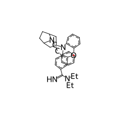 CCN(CC)C(=N)c1ccc2c(c1)Oc1ccccc1N2C1CC2CCC(C1)N2CCc1ccccc1